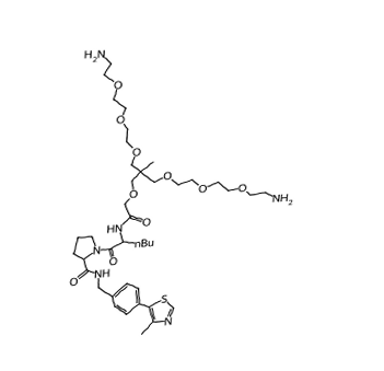 CCCCC(NC(=O)COCC(C)(COCCOCCOCCN)COCCOCCOCCN)C(=O)N1CCCC1C(=O)NCc1ccc(-c2scnc2C)cc1